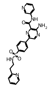 Nc1ncc(-c2ccc(S(=O)(=O)NCCc3ccccn3)cc2)nc1C(=O)Nc1cccnc1